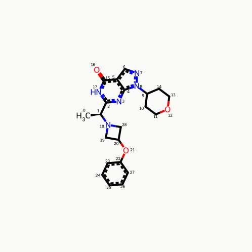 C[C@@H](c1nc2c(cnn2C2CCOCC2)c(=O)[nH]1)N1CC(Oc2ccccc2)C1